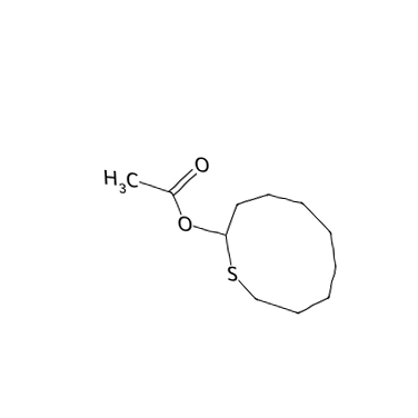 CC(=O)OC1CCCCCCCCS1